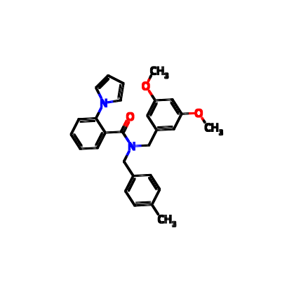 COc1cc(CN(Cc2ccc(C)cc2)C(=O)c2ccccc2-n2cccc2)cc(OC)c1